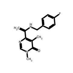 C=C(NCc1ccc(F)cc1)c1ncn(C)c(=O)c1C